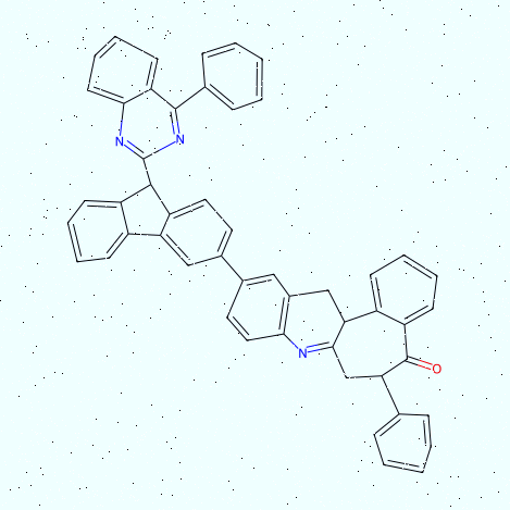 O=C1c2ccccc2C2Cc3cc(-c4ccc5c(c4)-c4ccccc4C5c4nc(-c5ccccc5)c5ccccc5n4)ccc3N=C2CC1c1ccccc1